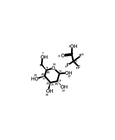 O=C(O)C(F)(F)F.OC[C@H]1OC(O)[C@H](O)[C@@H](O)[C@H]1O